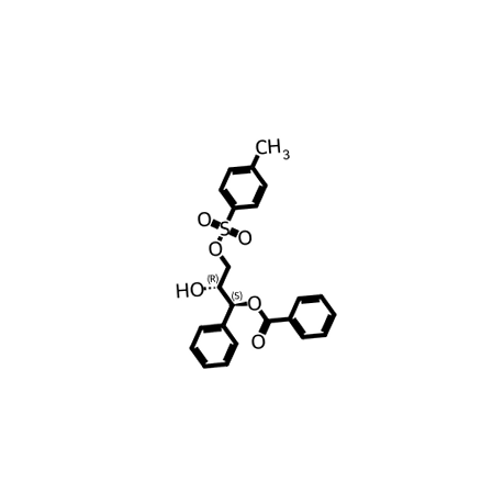 Cc1ccc(S(=O)(=O)OC[C@@H](O)[C@@H](OC(=O)c2ccccc2)c2ccccc2)cc1